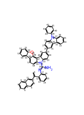 C=C(c1ccc2ccccc2c1)c1ccccc1/N=C(\N)n1c2ccc(-c3ccc4c(c3)c3ccccc3n4-c3ccccc3)cc2c2c3oc4ccccc4c3ccc21